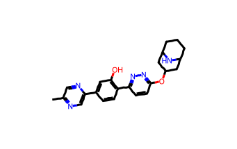 Cc1cnc(-c2ccc(-c3ccc(OC4CC5CCCC(C4)N5)nn3)c(O)c2)cn1